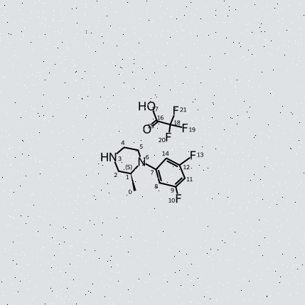 C[C@H]1CNCCN1c1cc(F)cc(F)c1.O=C(O)C(F)(F)F